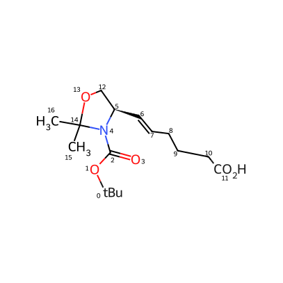 CC(C)(C)OC(=O)N1[C@H](C=CCCCC(=O)O)COC1(C)C